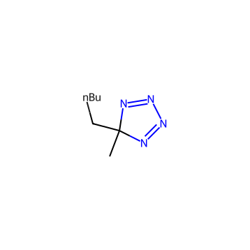 [CH2]CCCCC1(C)N=NN=N1